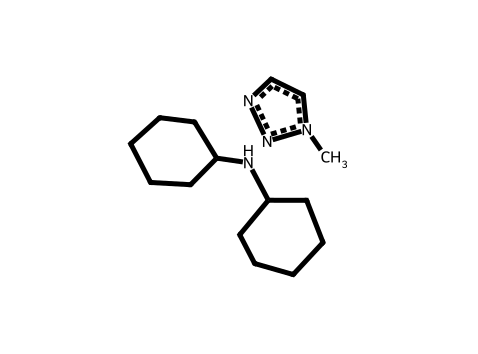 C1CCC(NC2CCCCC2)CC1.Cn1ccnn1